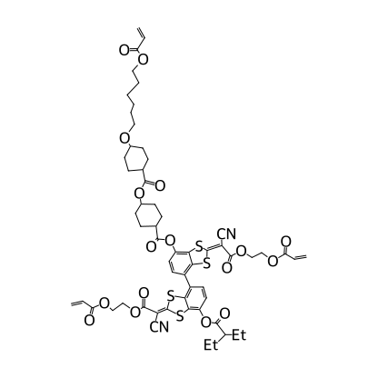 C=CC(=O)OCCCCCCOC1CCC(C(=O)OC2CCC(C(=O)Oc3ccc(-c4ccc(OC(=O)C(CC)CC)c5c4S/C(=C(/C#N)C(=O)OCCOC(=O)C=C)S5)c4c3S/C(=C(\C#N)C(=O)OCCOC(=O)C=C)S4)CC2)CC1